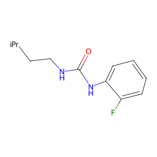 CC(C)CCNC(=O)Nc1ccccc1F